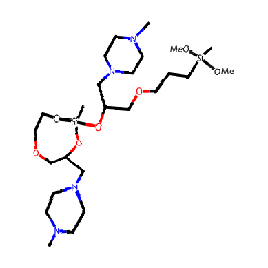 CO[Si](C)(CCCOCC(CN1CCN(C)CC1)O[Si]1(C)CCCOCC(CN2CCN(C)CC2)O1)OC